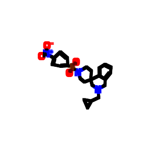 O=[N+]([O-])c1ccc(S(=O)(=O)N2CCC3(CC2)CN(CC2CC2)Cc2ccccc23)cc1